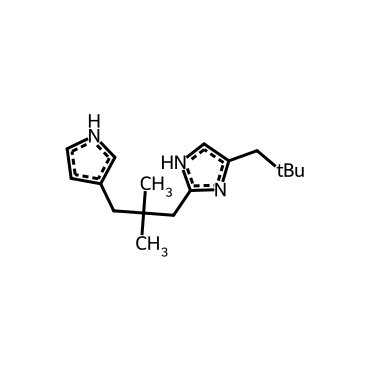 CC(C)(C)Cc1c[nH]c(CC(C)(C)Cc2cc[nH]c2)n1